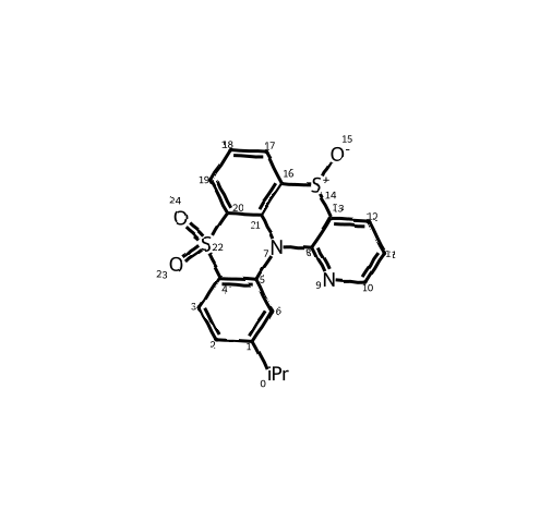 CC(C)c1ccc2c(c1)N1c3ncccc3[S+]([O-])c3cccc(c31)S2(=O)=O